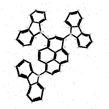 c1ccc2c(c1)c1ccccc1n2-c1ccc2ccc3c(-n4c5ccccc5c5ccccc54)cc(-n4c5ccccc5c5ccccc54)c4ccc1c2c34